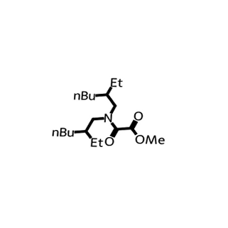 CCCCC(CC)CN(CC(CC)CCCC)C(=O)C(=O)OC